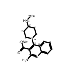 COC(=O)c1c(N)nc2ccccc2c1N1CCC(NC(C)(C)C)CC1